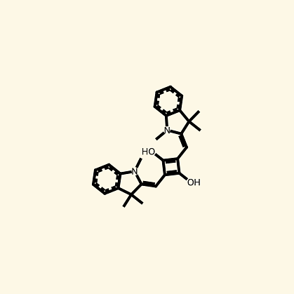 CN1C(=CC2=C(O)C(C=C3N(C)c4ccccc4C3(C)C)=C2O)C(C)(C)c2ccccc21